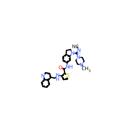 CN1CCN(/C(=N/C#N)N2CCc3ccc(NC(=O)c4sccc4NCc4ccnc5ccccc45)cc32)CC1